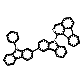 c1ccc(-n2c3ccccc3c3ccc(-c4ccc5c(c4)c4ccccc4n5-c4ncc5cccc6c5c4-c4ccccc4-6)cc32)cc1